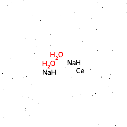 O.O.[Ce].[NaH].[NaH]